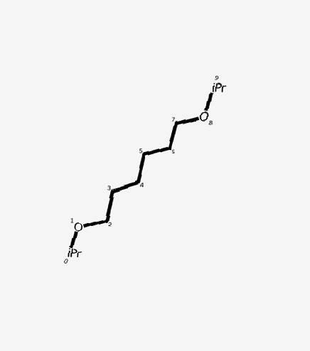 CC(C)OCCCCCCOC(C)C